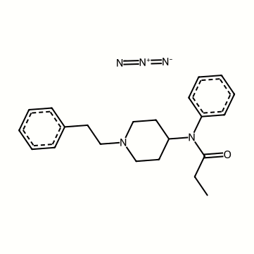 CCC(=O)N(c1ccccc1)C1CCN(CCc2ccccc2)CC1.[N-]=[N+]=[N-]